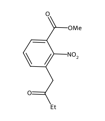 CCC(=O)Cc1cccc(C(=O)OC)c1[N+](=O)[O-]